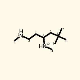 CNCCC(CC(C)(C)C)NC